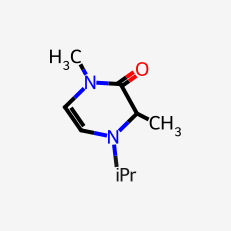 CC(C)N1C=CN(C)C(=O)C1C